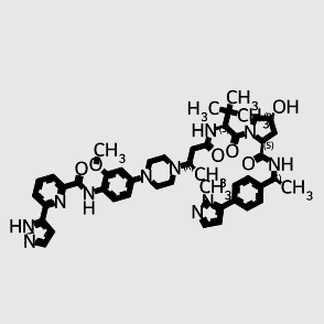 COc1cc(N2CCN([C@H](C)CC(=O)N[C@H](C(=O)N3C[C@H](O)C[C@H]3C(=O)N[C@@H](C)c3ccc(-c4ccnn4C)cc3)C(C)(C)C)CC2)ccc1NC(=O)c1cccc(-c2ccn[nH]2)n1